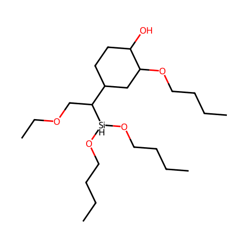 CCCCOC1CC(C(COCC)[SiH](OCCCC)OCCCC)CCC1O